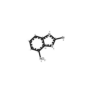 O=[N+]([O-])c1cccc2nc(Br)sc12